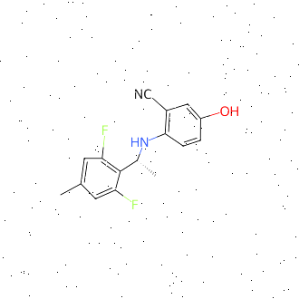 Cc1cc(F)c([C@@H](C)Nc2ccc(O)cc2C#N)c(F)c1